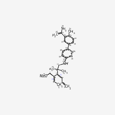 C=C/C=C(\C(=C/C)COC)C(C)(C)CNc1ccc(-c2ccc(C)c(C(=C)N)c2)nn1